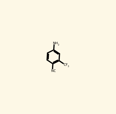 [C-]#[N+]c1ccc(N)cc1C(F)(F)F